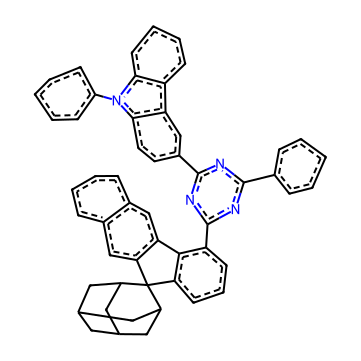 c1ccc(-c2nc(-c3ccc4c(c3)c3ccccc3n4-c3ccccc3)nc(-c3cccc4c3-c3cc5ccccc5cc3C43C4CC5CC(C4)CC3C5)n2)cc1